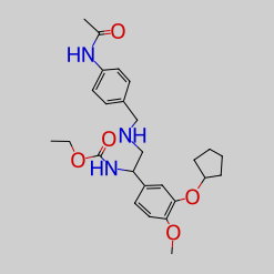 CCOC(=O)NC(CNCc1ccc(NC(C)=O)cc1)c1ccc(OC)c(OC2CCCC2)c1